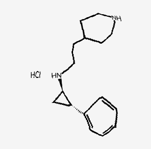 Cl.c1ccc([C@@H]2C[C@H]2NCCC2CCNCC2)cc1